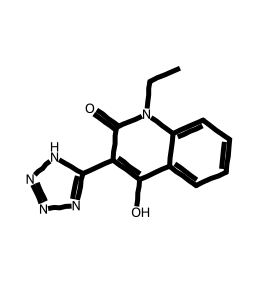 CCn1c(=O)c(-c2nnn[nH]2)c(O)c2ccccc21